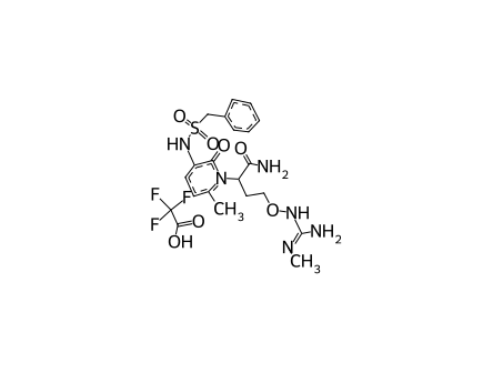 CN=C(N)NOCCC(C(N)=O)n1c(C)ccc(NS(=O)(=O)Cc2ccccc2)c1=O.O=C(O)C(F)(F)F